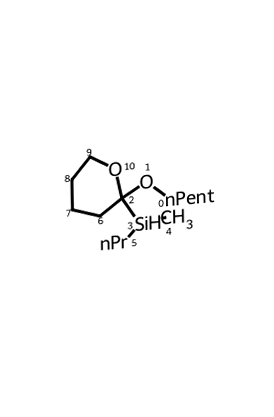 CCCCCOC1([SiH](C)CCC)CCCCO1